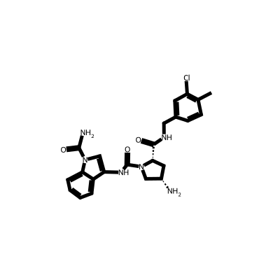 Cc1ccc(CNC(=O)[C@@H]2C[C@H](N)CN2C(=O)Nc2cn(C(N)=O)c3ccccc23)cc1Cl